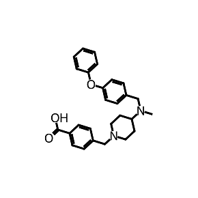 CN(Cc1ccc(Oc2ccccc2)cc1)C1CCN(Cc2ccc(C(=O)O)cc2)CC1